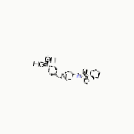 O=S(=O)(/C=C/C1CCN(Cc2ccc(B(O)O)cc2)CC1)c1ccccc1